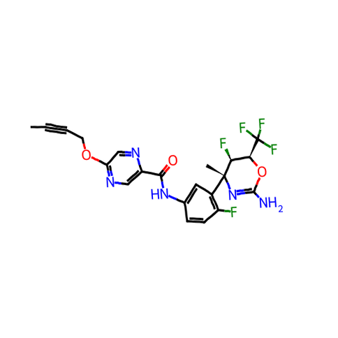 CC#CCOc1cnc(C(=O)Nc2ccc(F)c([C@@]3(C)N=C(N)O[C@H](C(F)(F)F)[C@@H]3F)c2)cn1